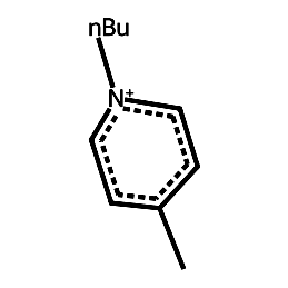 CCCC[n+]1ccc(C)cc1